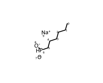 CCCCCC[PH](=O)[O-].[Na+]